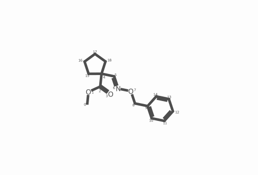 COC(=O)C1(/C=N/OCc2ccccc2)CCCC1